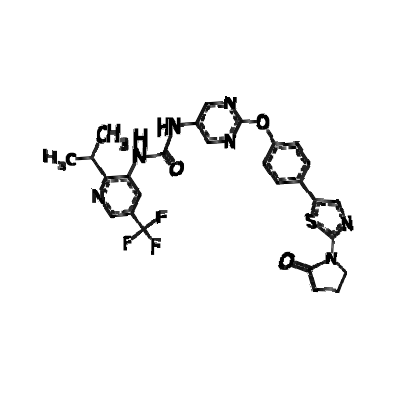 CC(C)c1ncc(C(F)(F)F)cc1NC(=O)Nc1cnc(Oc2ccc(-c3cnc(N4CCCC4=O)s3)cc2)nc1